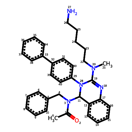 CC(=O)N(Cc1ccccc1)C1c2ccccc2N=C(N(C)CCCCCN)N1c1ccc(-c2ccccc2)cc1